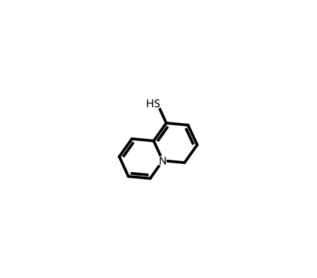 SC1=C2C=CC=CN2CC=C1